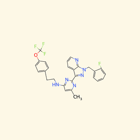 Cc1cc(NCCc2ccc(OC(F)(F)F)cc2)nc(-c2nn(Cc3ccccc3F)c3ncccc23)n1